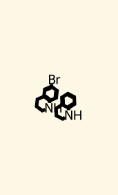 Brc1ccc2c(c1)CCCN2.c1ccc2c(c1)CCCN2